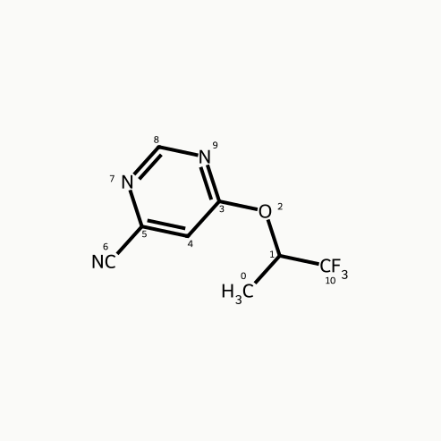 CC(Oc1cc(C#N)ncn1)C(F)(F)F